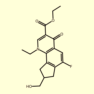 CCOC(=O)c1cn(CC)c2c3c(c(F)cc2c1=O)CC(CO)C3